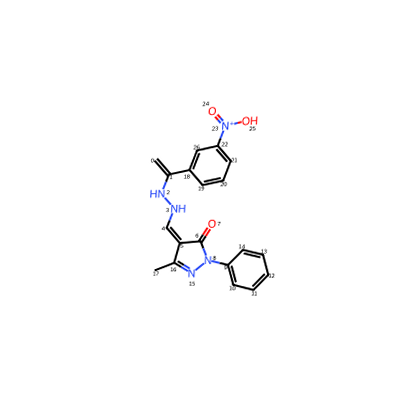 C=C(NN/C=C1\C(=O)N(c2ccccc2)N=C1C)c1cccc([N+](=O)O)c1